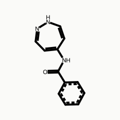 O=C(NC1=CC=NNC=C1)c1ccccc1